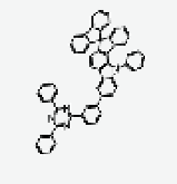 c1ccc(-c2nc(-c3ccccc3)nc(-c3cccc(-c4ccc5c(c4)c4ccc6c(c4n5-c4ccccc4)-c4ccccc4C64c5ccccc5-c5ccccc54)c3)n2)cc1